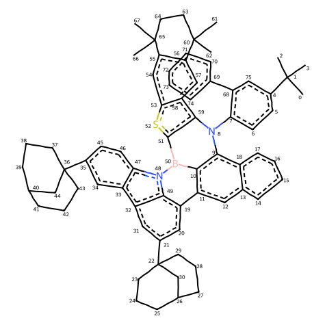 CC(C)(C)c1ccc(N2c3c4c(cc5ccccc35)-c3cc(C56CCCC(CCC5)C6)cc5c6cc(C78CCCC(CCC7)C8)ccc6n(c35)B4c3sc4cc5c(cc4c32)C(C)(C)CCC5(C)C)c(-c2ccccc2)c1